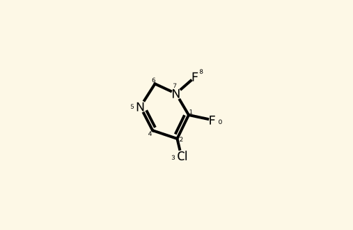 FC1=C(Cl)C=NCN1F